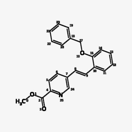 COC(=O)c1ccc(C=Cc2ccccc2OCc2ccccc2)cn1